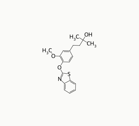 COc1cc(CCC(C)(C)O)ccc1Oc1nc2ccccc2s1